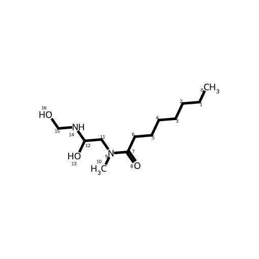 CCCCCCCC(=O)N(C)CC(O)NCO